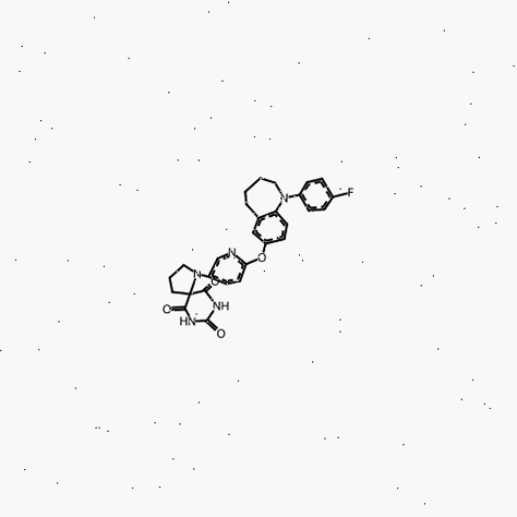 O=C1NC(=O)C2(CCCN2c2ccc(Oc3ccc4c(c3)CCCCN4c3ccc(F)cc3)nc2)C(=O)N1